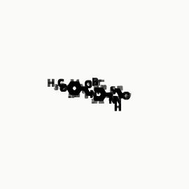 COc1ccc(C(=O)C[n+]2ccc(C3=NNC(=O)CS3)cc2)cc1.[Br-]